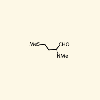 CN[C@@H]([C]=O)CCSC